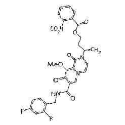 COc1c(=O)c(C(=O)NCc2ccc(F)cc2F)cn2ccn([C@H](C)CCOC(=O)c3ccccc3C(=O)O)c(=O)c12